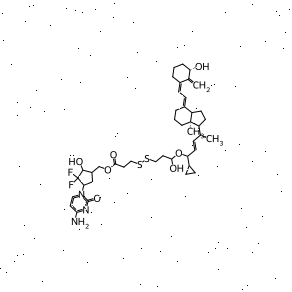 C=C1/C(=C\C=C2/CCC[C@@]3(C)C2CCC3[C@@H](C)/C=C/C(OC(O)CCSSCCC(=O)OCC2CC(n3ccc(N)nc3=O)C(F)(F)C2O)C2CC2)CCC[C@@H]1O